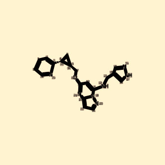 c1ccc([C@@H]2C[C@H]2COc2cc(NCc3cn[nH]c3)n3nccc3n2)nc1